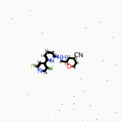 N#CC1CCOC(CNc2cccc(-c3cc(F)ncc3F)n2)C1